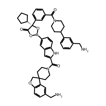 NCc1cccc(C2CCN(C(=O)c3cccc([C@@]4(C5CCCC5)OB(c5ccc6[nH]c(C(=O)N7CCC8(CC7)COc7ccc(CN)cc78)cc6c5)OC4=O)c3)CC2)c1